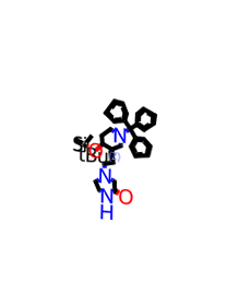 CC(C)(C)[Si](C)(C)OC1CCN(C(c2ccccc2)(c2ccccc2)c2ccccc2)C/C1=C/CN1CCNC(=O)C1